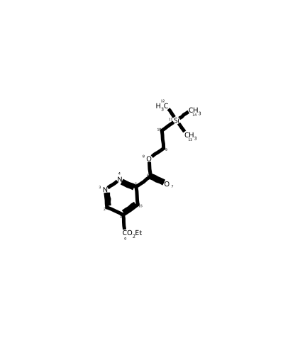 CCOC(=O)c1cnnc(C(=O)OCC[Si](C)(C)C)c1